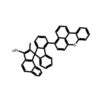 CCCC1=C(C)C2(c3ccccc3-c3c(-c4ccc5c6c(cccc46)-c4ccccc4S5)cccc32)c2c1ccc1ccccc21